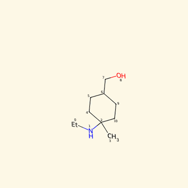 CCNC1(C)CCC(CO)CC1